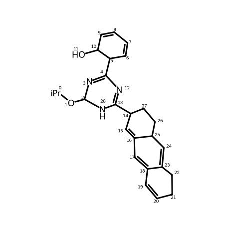 CC(C)OC1N=C(C2C=CC=CC2O)N=C(C2C=C3C=C4C=CCCC4=CC3CC2)N1